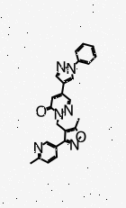 Cc1ccc(-c2noc(C)c2Cn2ncc(-c3cnn(-c4ccccc4)c3)cc2=O)cn1